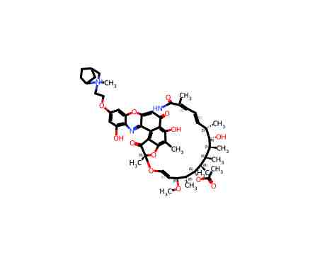 CO[C@H]1/C=C/O[C@@]2(C)Oc3c(C)c(O)c4c(=O)c(c5oc6cc(OCC[N+]7(C)CC8CCC7C8)cc(O)c6nc-5c4c3C2=O)NC(=O)/C(C)=C\C=C\[C@H](C)[C@H](O)[C@@H](C)[C@@H](C)[C@@H](C)[C@H](OC(C)=O)[C@@H]1C